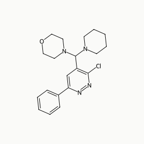 Clc1nnc(-c2ccccc2)cc1C(N1CCCCC1)N1CCOCC1